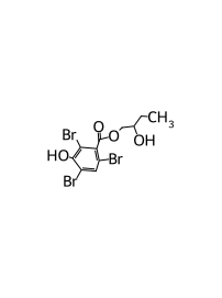 CCC(O)COC(=O)c1c(Br)cc(Br)c(O)c1Br